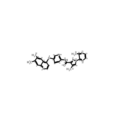 Cc1cc2nccc(Oc3ccc(NC(=O)c4nn(-c5nccnc5C)cc4C)nc3)c2cc1C